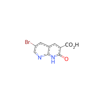 O=C(O)c1cc2cc(Br)cnc2[nH]c1=O